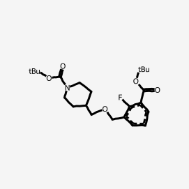 CC(C)(C)OC(=O)c1cccc(COCC2CCN(C(=O)OC(C)(C)C)CC2)c1F